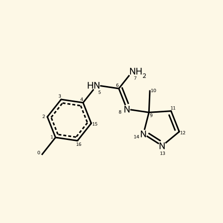 Cc1ccc(NC(N)=NC2(C)C=CN=N2)cc1